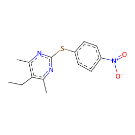 CCc1c(C)nc(Sc2ccc([N+](=O)[O-])cc2)nc1C